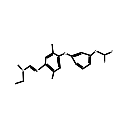 CCN(C)C=Nc1cc(C)c(Oc2cccc(SC(F)F)c2)cc1C